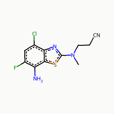 CN(CCC#N)c1nc2c(Cl)cc(F)c(N)c2s1